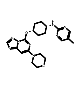 Cc1cnc(N[C@H]2CC[C@@H](Oc3nc(N4CCOCC4)cc4ncnn34)CC2)nc1